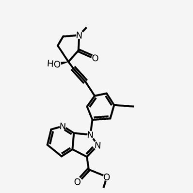 COC(=O)c1nn(-c2cc(C)cc(C#C[C@]3(O)CCN(C)C3=O)c2)c2ncccc12